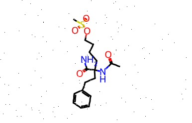 CC(=O)NC(CCCCOS(C)(=O)=O)(CCc1ccccc1)C(N)=O